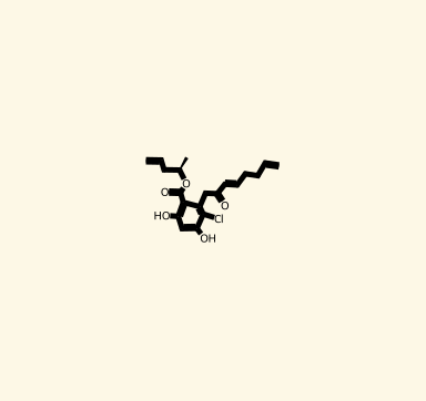 C=CCC/C=C/C(=O)Cc1c(Cl)c(O)cc(O)c1C(=O)O[C@H](C)CC=C